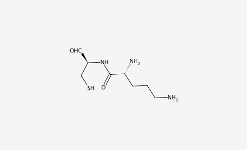 NCCC[C@@H](N)C(=O)N[C@H]([C]=O)CS